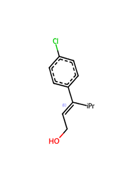 CC(C)/C(=C\CO)c1ccc(Cl)cc1